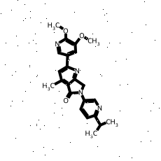 COc1cc(-c2cc(C)c3c(n2)CN(c2ccc(C(C)C)nc2)C3=O)cnc1OC